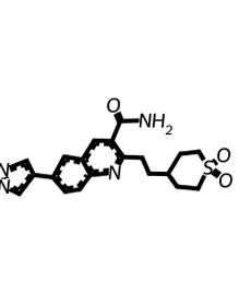 NC(=O)c1cc2cc(-c3cn[nH]c3)ccc2nc1CCC1CCS(=O)(=O)CC1